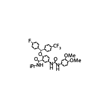 COc1ccc(NC(=O)Nc2ccc(OC(c3ccc(F)cc3)c3ccc(C(F)(F)F)cc3)c(C(=O)NC(C)C)c2)cc1OC